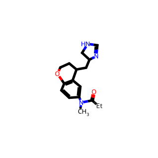 CCC(=O)N(C)c1ccc2c(c1)C(CC1CNC=N1)CCO2